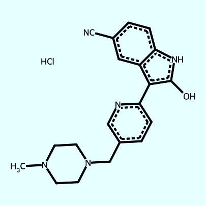 CN1CCN(Cc2ccc(-c3c(O)[nH]c4ccc(C#N)cc34)nc2)CC1.Cl